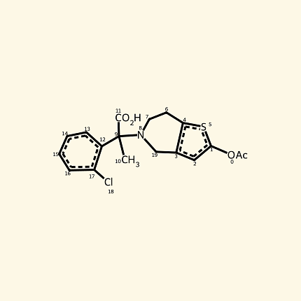 CC(=O)Oc1cc2c(s1)CCN(C(C)(C(=O)O)c1ccccc1Cl)C2